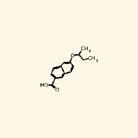 CCC(C)Oc1ccc2cc(C(=O)O)ccc2c1